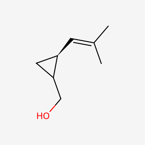 CC(C)=C[C@@H]1CC1CO